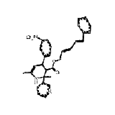 CC1=CC(c2cccc([N+](=O)[O-])c2)C(C(=O)OCC=CC=Cc2ccccc2)C(C)(c2cccnc2)N1